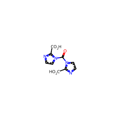 O=C(O)c1nccn1C(=O)n1ccnc1C(=O)O